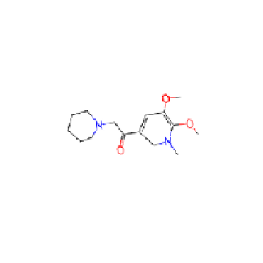 COC1=C(OC)N(C)CC(C(=O)CN2CCCCC2)=C1